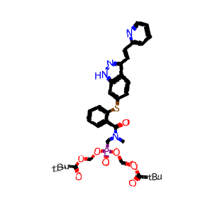 CN(CP(=O)(OCOC(=O)C(C)(C)C)OCOC(=O)C(C)(C)C)C(=O)c1ccccc1Sc1ccc2c(/C=C/c3ccccn3)n[nH]c2c1